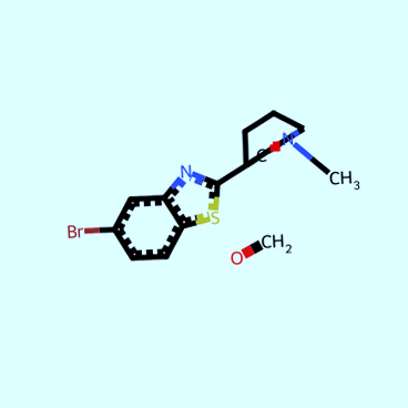 C=O.CN1CC2(c3nc4cc(Br)ccc4s3)CCC1CC2